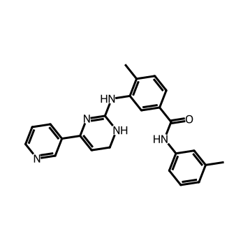 Cc1cccc(NC(=O)c2ccc(C)c(NC3=NC(c4cccnc4)=CCN3)c2)c1